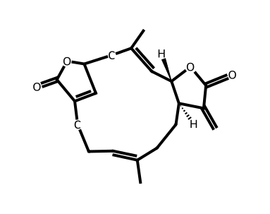 C=C1C(=O)O[C@H]2/C=C(\C)CC3C=C(CC/C=C(\C)CC[C@H]12)C(=O)O3